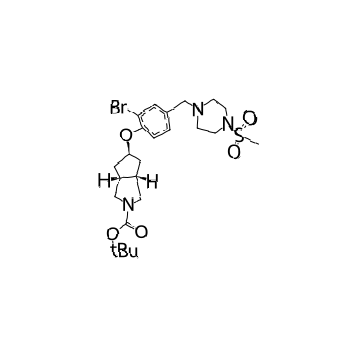 CC(C)(C)OC(=O)N1C[C@H]2C[C@H](Oc3ccc(CN4CCN(S(C)(=O)=O)CC4)cc3Br)C[C@H]2C1